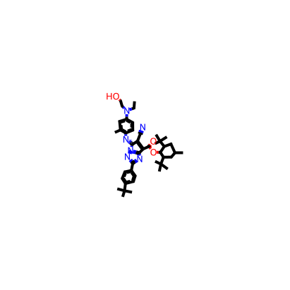 CCN(CCO)c1ccc(/N=C2\C(C#N)=C(C(=O)OC3C(C(C)(C)C)CC(C)CC3C(C)(C)C)c3nc(-c4ccc(C(C)(C)C)cc4)nn32)c(C)c1